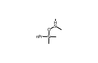 CCC[Si](C)(C)O[SiH](C)C